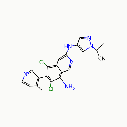 Cc1ccncc1-c1c(Cl)c(N)c2cnc(Nc3cnn(C(C)C#N)c3)cc2c1Cl